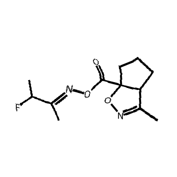 CC1=NOC2(C(=O)O/N=C(\C)C(C)F)CCCC12